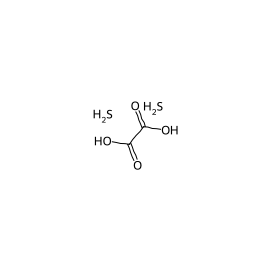 O=C(O)C(=O)O.S.S